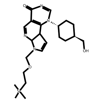 C[Si](C)(C)CCOCN1C=CC2c3c(c(=O)ncn3[C@H]3CC[C@H](CO)CC3)C=NC21